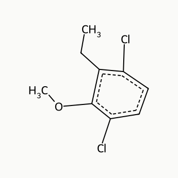 CCc1c(Cl)ccc(Cl)c1OC